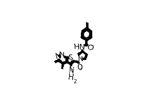 Cc1ccc(C(=O)NC2CCN(C(=O)c3sc4nnc(C)c(C)c4c3N)C2)cc1